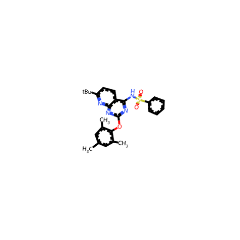 Cc1cc(C)c(Oc2nc(NS(=O)(=O)c3ccccc3)c3ccc(C(C)(C)C)nc3n2)c(C)c1